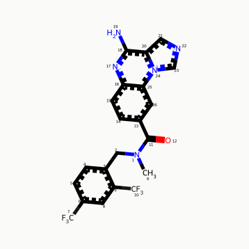 CN(Cc1ccc(C(F)(F)F)cc1C(F)(F)F)C(=O)c1ccc2nc(N)c3cncn3c2c1